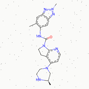 Cc1cc2nn(C)nc2cc1NC(=O)N1CCc2c(N3CCN[C@H](C)C3)ccnc21